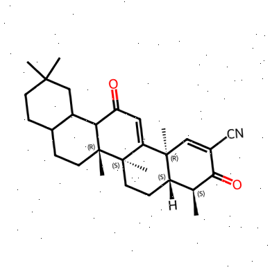 C[C@@H]1C(=O)C(C#N)=C[C@]2(C)C3=CC(=O)C4C5CC(C)(C)CCC5CC[C@@]4(C)[C@]3(C)CC[C@@H]12